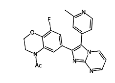 CC(=O)N1CCOc2c(F)cc(-c3nc4ncccn4c3-c3ccnc(C)c3)cc21